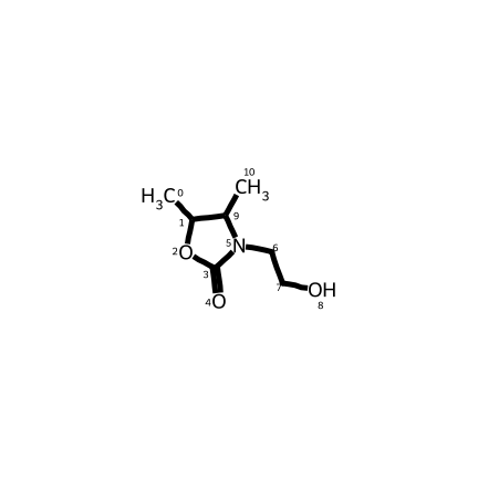 CC1OC(=O)N(CCO)C1C